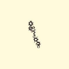 CC(CCCOc1ccc(-c2ccc(Cl)s2)cc1)CN1CCN(c2ccncc2)C1=O